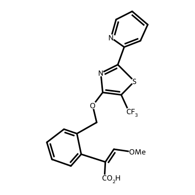 COC=C(C(=O)O)c1ccccc1COc1nc(-c2ccccn2)sc1C(F)(F)F